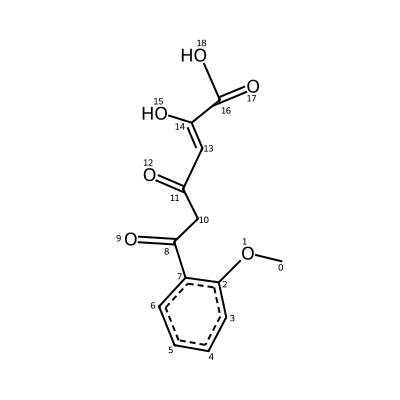 COc1ccccc1C(=O)CC(=O)C=C(O)C(=O)O